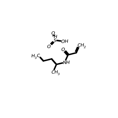 C=CC(=O)NC(C)CCC.O=[SH](=O)O